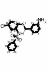 Nc1cccc(CSc2ccc(Cl)cc2NS(=O)(=O)c2ccccc2)c1